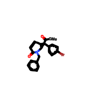 COC(=O)C1(c2ccc(Br)cc2)C2C=CC(=O)N(Cc3ccccc3)C21